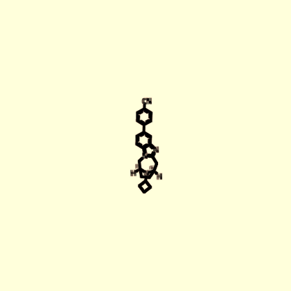 N#Cc1ccc(-c2ccc3c(c2)nc2n3C[C@H]3CC[C@@H](C2)N3C2CCC2)cc1